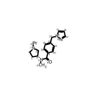 CC(C)N1CC[C@@H](N(C)C(=O)c2ccc(Cn3cccn3)cc2)C1